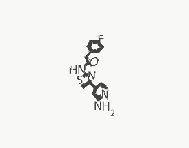 Nc1cc(-c2csc(NC(=O)Cc3ccc(F)cc3)n2)ccn1